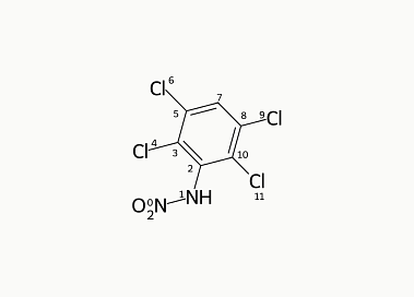 O=[N+]([O-])Nc1c(Cl)c(Cl)cc(Cl)c1Cl